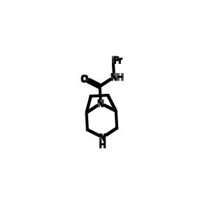 CC(C)NC(=O)N1C2CCC1CNC2